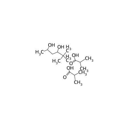 CC(C)C(=O)O.CC(C)C(=O)O.CC(O)CC(O)C(C)(C)C